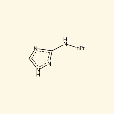 [CH2]CCNc1nc[nH]n1